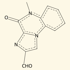 Cn1c(=O)c2nc(C=O)cn2c2ccccc21